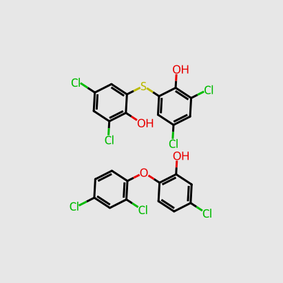 Oc1c(Cl)cc(Cl)cc1Sc1cc(Cl)cc(Cl)c1O.Oc1cc(Cl)ccc1Oc1ccc(Cl)cc1Cl